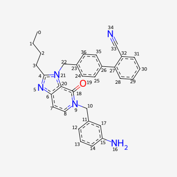 CCCCc1nc2ccn(Cc3cccc(N)c3)c(=O)c2n1Cc1ccc(-c2ccccc2C#N)cc1